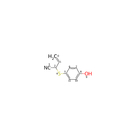 C=CC(C#N)Sc1ccc(O)cc1